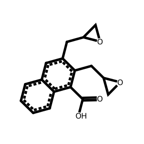 O=C(O)c1c(CC2CO2)c(CC2CO2)cc2ccccc12